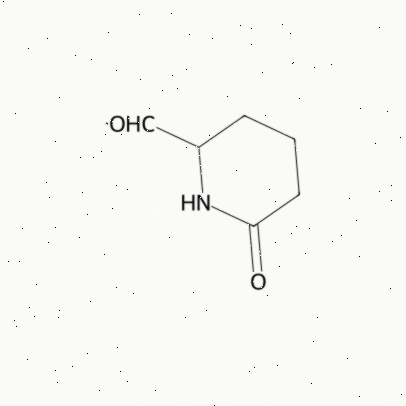 O=[C]C1CCCC(=O)N1